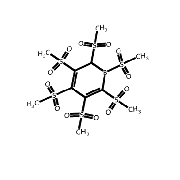 CS(=O)(=O)B1C(S(C)(=O)=O)=C(S(C)(=O)=O)C(S(C)(=O)=O)=C(S(C)(=O)=O)C1S(C)(=O)=O